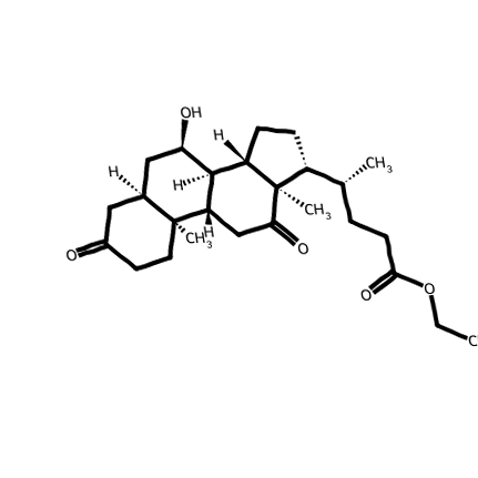 CCOC(=O)CC[C@@H](C)[C@H]1CC[C@H]2[C@@H]3[C@H](O)C[C@@H]4CC(=O)CC[C@]4(C)[C@H]3CC(=O)[C@]12C